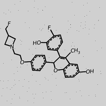 CC1=C(c2ccc(F)c(O)c2)C(c2ccc(OCCN3CC(CF)C3)cc2)Oc2ccc(O)cc21